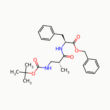 C[C@H](CNC(=O)OC(C)(C)C)C(=O)N[C@@H](Cc1ccccc1)C(=O)OCc1ccccc1